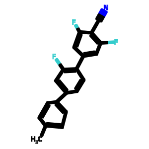 Cc1ccc(-c2ccc(-c3cc(F)c(C#N)c(F)c3)c(F)c2)cc1